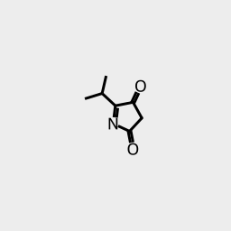 CC(C)C1=NC(=O)CC1=O